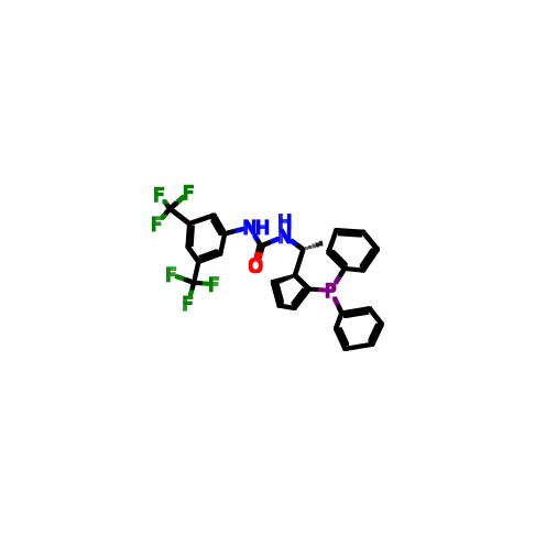 C[C@@H](NC(=O)Nc1cc(C(F)(F)F)cc(C(F)(F)F)c1)[C@@H]1C=CC=C1P(c1ccccc1)c1ccccc1